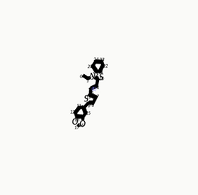 CC[n+]1c(/C=C/c2ccc(-c3ccc4c(c3)OCO4)s2)sc2ccccc21